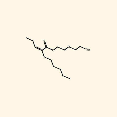 CCC=C(CCCCCC)C(=O)OCCOCCO